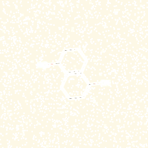 OC1CCCC2=C1CCCC2O